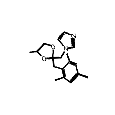 Cc1cc(C)c(CC2(Cn3ccnc3)OCC(C)O2)c(C)c1